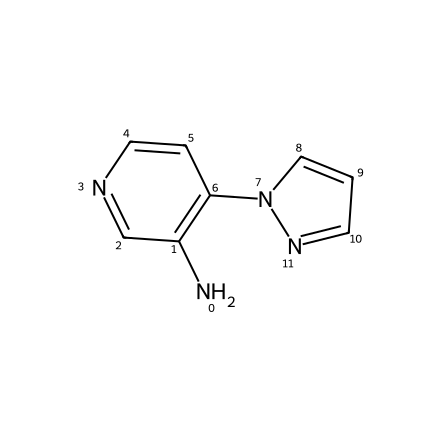 Nc1cnccc1-n1cccn1